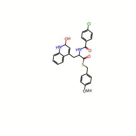 COc1ccc(CSC(=O)C(CC2=CC(O)Nc3ccccc32)NC(=O)c2ccc(Cl)cc2)cc1